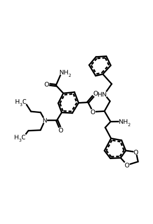 CCCN(CCC)C(=O)c1cc(C(N)=O)cc(C(=O)OC(CNCc2ccccc2)C(N)Cc2ccc3c(c2)OCO3)c1